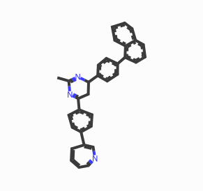 CC1=NC(c2ccc(-c3cccc4ccccc34)cc2)CC(c2ccc(C3=CN=CC=C=C3)cc2)=N1